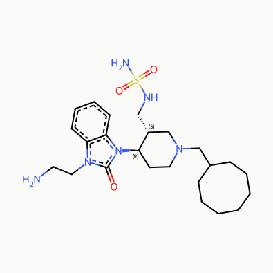 NCCn1c(=O)n([C@@H]2CCN(CC3CCCCCCC3)C[C@H]2CNS(N)(=O)=O)c2ccccc21